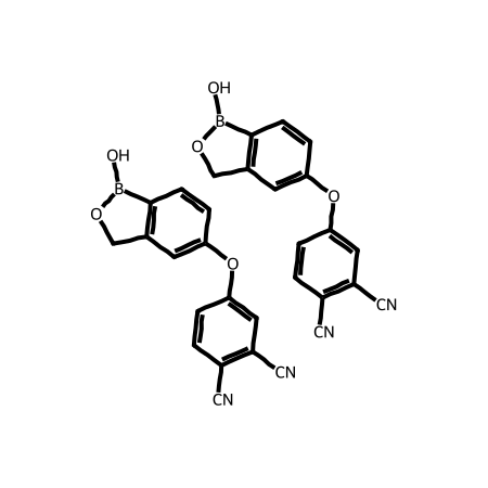 N#Cc1ccc(Oc2ccc3c(c2)COB3O)cc1C#N.N#Cc1ccc(Oc2ccc3c(c2)COB3O)cc1C#N